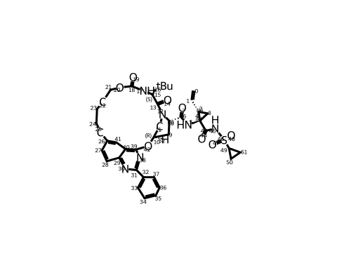 C=C[C@@H]1C[C@]1(NC(=O)[C@@H]1C[C@@H]2CN1C(=O)[C@H](C(C)(C)C)NC(=O)OCCCCCc1ccc3nc(-c4ccccc4)nc(c3c1)O2)C(=O)NS(=O)(=O)C1CC1